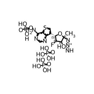 C[C@@]1(N=[N+]=N)O[C@@H](c2csc3c(N)ncnc23)[C@H](F)[C@@H]1O.O=P(O)(O)O.O=P(O)(O)O.O=P([O-])(O)O